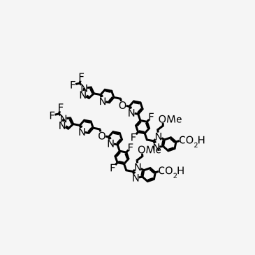 COCCn1c(Cc2cc(F)c(-c3cccc(OCc4ccc(-c5cnn(C(F)F)c5)nc4)n3)cc2F)nc2ccc(C(=O)O)cc21.COCCn1c(Cc2cc(F)c(-c3cccc(OCc4ccc(-c5cnn(C(F)F)c5)nc4)n3)cc2F)nc2ccc(C(=O)O)cc21